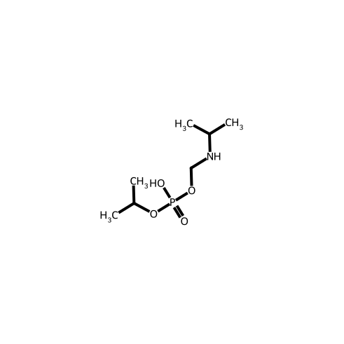 CC(C)NCOP(=O)(O)OC(C)C